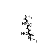 COC(=O)[C@@H](O)CCC(=O)NCCN